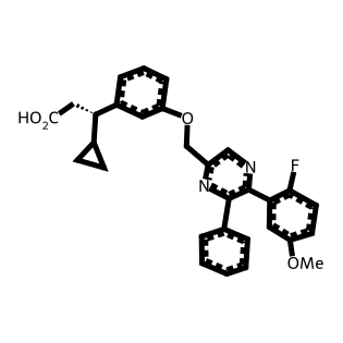 COc1ccc(F)c(-c2ncc(COc3cccc([C@@H](CC(=O)O)C4CC4)c3)nc2-c2ccccc2)c1